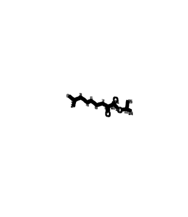 CC(C)CCCCCC(=O)C(=O)OC(C)C